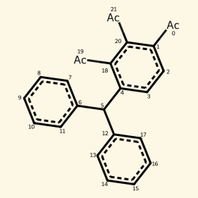 CC(=O)c1ccc(C(c2ccccc2)c2ccccc2)c(C(C)=O)c1C(C)=O